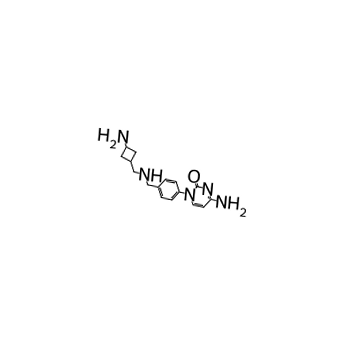 Nc1ccn(-c2ccc(CNCC3CC(N)C3)cc2)c(=O)n1